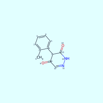 Cc1ccccc1C1C(=O)C=NNC1=O